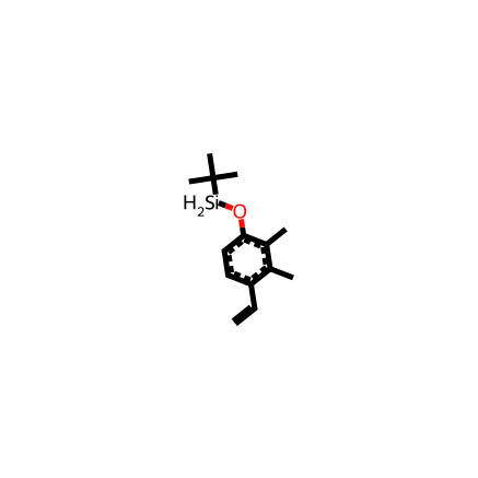 C=Cc1ccc(O[SiH2]C(C)(C)C)c(C)c1C